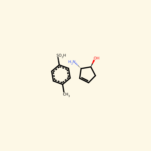 Cc1ccc(S(=O)(=O)O)cc1.N[C@H]1C=CC[C@@H]1O